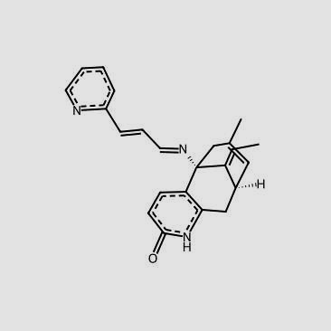 C/C=C1\[C@H]2C=C(C)C[C@]1(N=CC=Cc1ccccn1)c1ccc(=O)[nH]c1C2